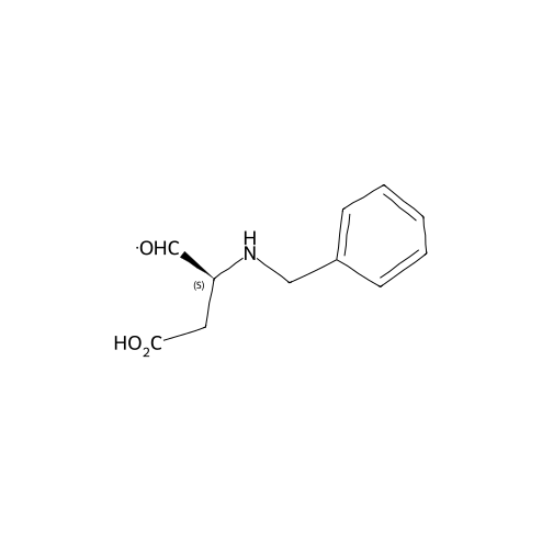 O=[C][C@H](CC(=O)O)NCc1ccccc1